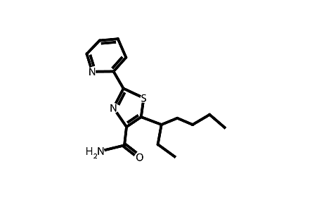 CCCCC(CC)c1sc(-c2ccccn2)nc1C(N)=O